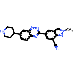 Cn1cc2cc(-c3nnc4cc(C5CCNCC5)ccc4n3)cc(C#N)c2n1